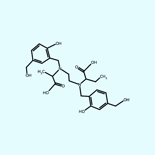 CCC(C(=O)O)N(CCN(Cc1cc(CO)ccc1O)C(C)C(=O)O)Cc1ccc(CO)cc1O